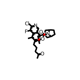 CC(=O)CCCc1nc(N2CC3CCC(C2)N3C(=O)OC(C)(C)C)c2cnc(Cl)c(F)c2c1C